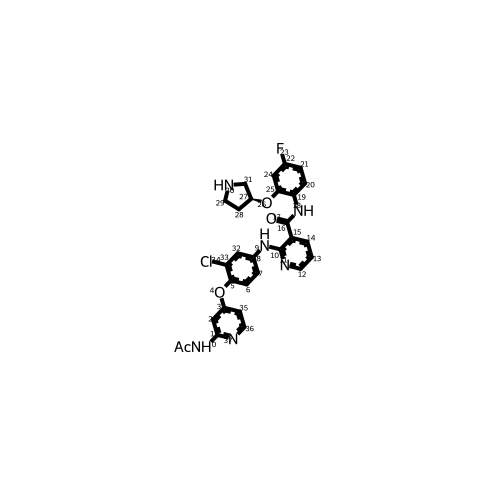 CC(=O)Nc1cc(Oc2ccc(Nc3ncccc3C(=O)Nc3ccc(F)cc3O[C@H]3CCNC3)cc2Cl)ccn1